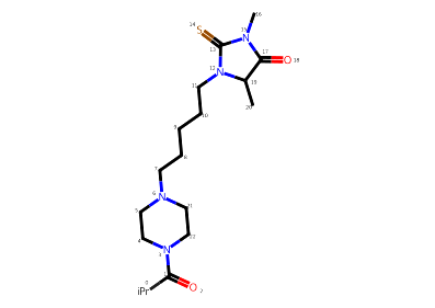 CC(C)C(=O)N1CCN(CCCCCN2C(=S)N(C)C(=O)C2C)CC1